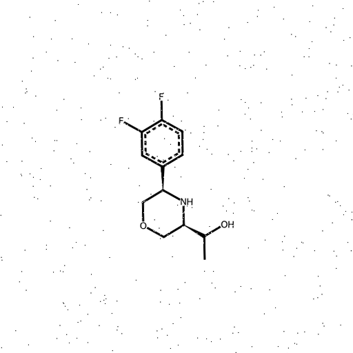 CC(O)[C@H]1COC[C@@H](c2ccc(F)c(F)c2)N1